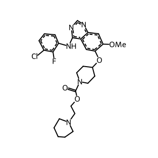 COc1cc2ncnc(Nc3cccc(Cl)c3F)c2cc1OC1CCN(C(=O)OCCN2CCCCC2)CC1